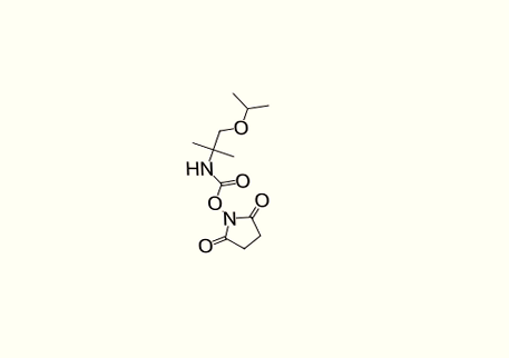 CC(C)OCC(C)(C)NC(=O)ON1C(=O)CCC1=O